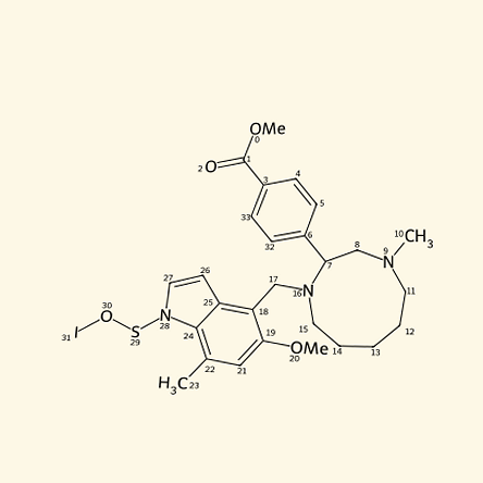 COC(=O)c1ccc(C2CN(C)CCCCCN2Cc2c(OC)cc(C)c3c2ccn3SOI)cc1